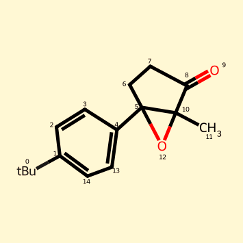 CC(C)(C)c1ccc(C23CCC(=O)C2(C)O3)cc1